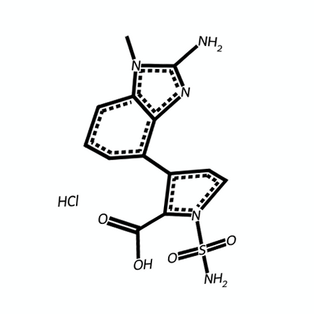 Cl.Cn1c(N)nc2c(-c3ccn(S(N)(=O)=O)c3C(=O)O)cccc21